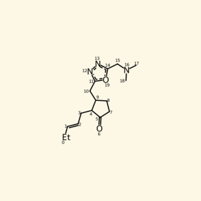 CC/C=C/CC1C(=O)CCC1Cc1nnc(CN(C)C)o1